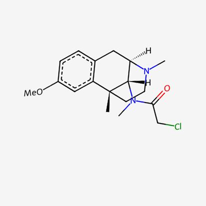 COc1ccc2c(c1)[C@@]1(C)CCN(C)[C@H](C2)[C@@H]1N(C)C(=O)CCl